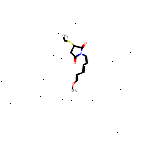 CCSC1CC(=O)N(\C=C/C=C/C=C/OC)C1=O